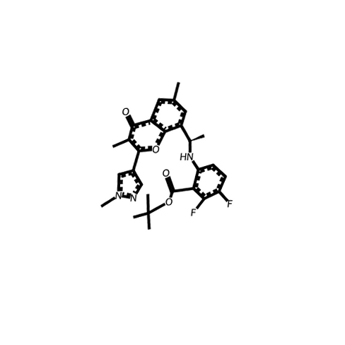 Cc1cc([C@@H](C)Nc2ccc(F)c(F)c2C(=O)OC(C)(C)C)c2oc(-c3cnn(C)c3)c(C)c(=O)c2c1